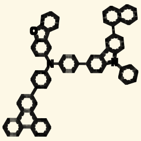 c1ccc(-n2c3ccc(-c4ccc(N(c5ccc(-c6ccc7c8ccccc8c8ccccc8c7c6)cc5)c5ccc6oc7ccccc7c6c5)cc4)cc3c3cc(-c4cccc5ccccc45)ccc32)cc1